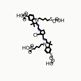 CC1(C)C(/C=C/C2=C(Cl)C(=C/C=C3/N(CCCCSOOO)c4ccc(S(=O)(=O)O)cc4C3(C)C)/CC2)=[N+](CCCCS(=O)(=O)O)c2ccc(SOOO)cc21